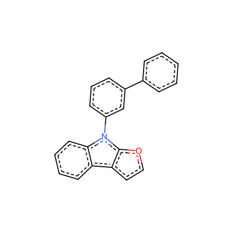 c1ccc(-c2cccc(-n3c4ccccc4c4ccoc43)c2)cc1